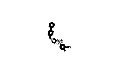 Cc1ccc(S(=O)(=O)N[C@@H]2CCN(Cc3ccc(-c4ccccc4)cc3)C2)cc1C#N